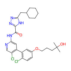 CC(C)(O)CCCOc1ccc(Cl)c(-c2cc(NC(=O)c3nnc(CC4CCCCC4)[nH]3)ncc2Cl)c1